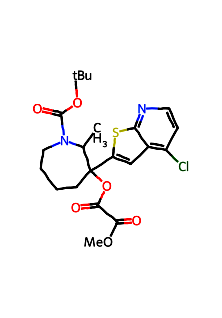 COC(=O)C(=O)OC1(c2cc3c(Cl)ccnc3s2)CCCCN(C(=O)OC(C)(C)C)C1C